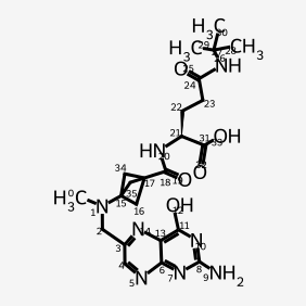 CN(Cc1cnc2nc(N)nc(O)c2n1)C12CC(C(=O)N[C@@H](CCC(=O)NC(C)(C)C)C(=O)O)(C1)C2